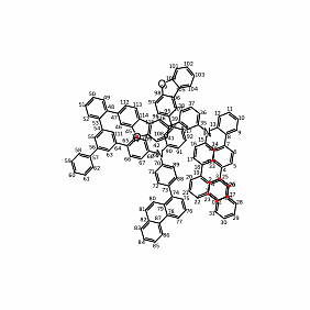 c1ccc(-c2ccc(-c3ccccc3N(c3ccc(-c4cccc5c4ccc4ccccc45)cc3)c3cccc(-c4ccc5oc6cc(-c7ccccc7-c7cc(-c8ccccc8)cc(-c8ccc(N(c9ccc(-c%10cccc%11c%10ccc%10ccccc%10%11)cc9)c9cccc(-c%10ccc%11oc%12ccccc%12c%11c%10)c9)cc8)c7)ccc6c5c4)c3)cc2)cc1